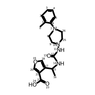 Cc1ccccc1N1CCN(NC(=O)NC(C)c2cocc2C(=O)O)CC1